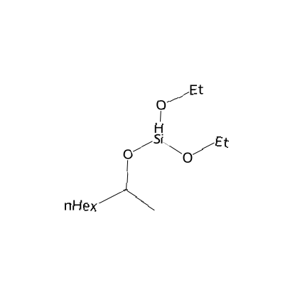 CCCCCCC(C)O[SiH](OCC)OCC